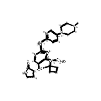 CCC1(N(C=O)c2nc(Nc3ccc(N4CCN(C)CC4)cn3)ncc2C[C@@H]2CCNC2=O)CCC1